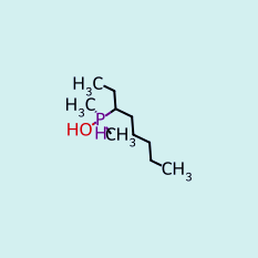 CCCCCC(CC)[PH](C)(C)O